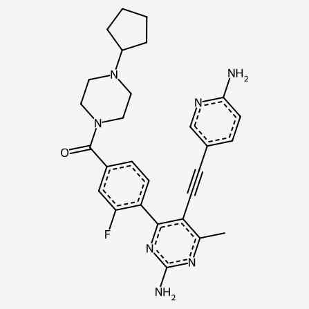 Cc1nc(N)nc(-c2ccc(C(=O)N3CCN(C4CCCC4)CC3)cc2F)c1C#Cc1ccc(N)nc1